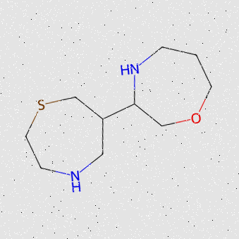 C1CNC(C2CNCCSC2)COC1